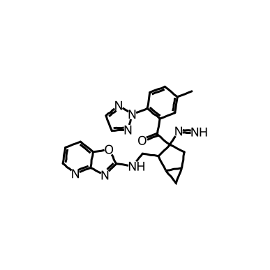 Cc1ccc(-n2nccn2)c(C(=O)C2(N=N)CC3CC3C2CNc2nc3ncccc3o2)c1